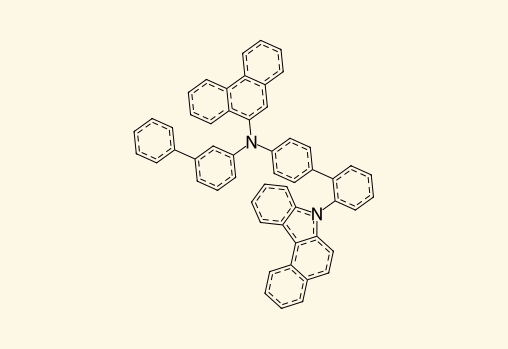 c1ccc(-c2cccc(N(c3ccc(-c4ccccc4-n4c5ccccc5c5c6ccccc6ccc54)cc3)c3cc4ccccc4c4ccccc34)c2)cc1